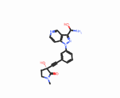 CN1CC[C@@](O)(C#Cc2cccc(-n3nc(C(N)O)c4cnccc43)c2)C1=O